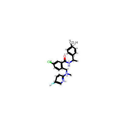 CC(NC(=O)c1cc(Cl)ccc1CN(C)c1ccc(F)cn1)c1ccc(C(=O)O)cc1